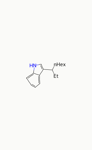 CCCCCCC(CC)c1c[nH]c2ccccc12